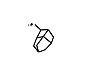 [CH2]CCCC1C2CC3CC(C2)CC1C3